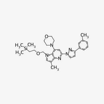 Cc1cccc(-c2ccn(-c3cc(N4CCOCC4)c4c(n3)c(C)cn4COCC[Si](C)(C)C)n2)c1